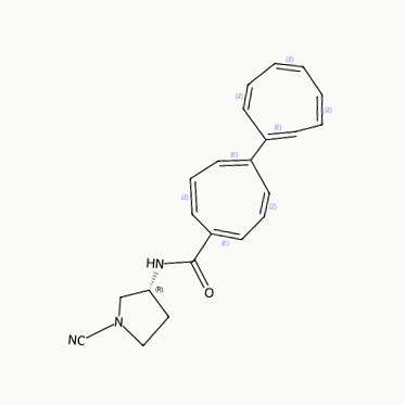 N#CN1CC[C@@H](NC(=O)C2=C\C=C/C(C3=C/C=C\C=C/C=C\3)=C\C=C/2)C1